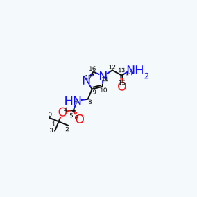 CC(C)(C)OC(=O)NCc1cn(CC(N)=O)cn1